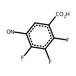 O=Nc1cc(C(=O)O)c(F)c(F)c1F